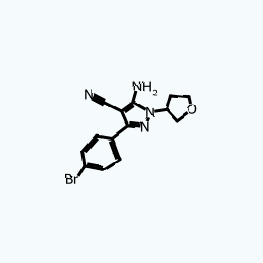 N#Cc1c(-c2ccc(Br)cc2)nn(C2CCOC2)c1N